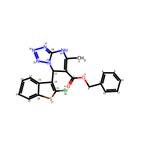 CC1=C(C(=O)OCc2ccccc2)C(c2c(Br)sc3ccccc23)n2nnnc2N1